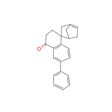 O=C1CCC2(CC3=CCC2C3)c2ccc(-c3ccccc3)cc21